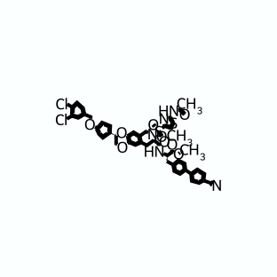 COC(=O)[C@H](Cc1ccc(-c2ccc(C#N)cc2)cc1)NC(=O)C1Cc2cc3c(cc2CN1S(=O)(=O)c1nc(NC(C)=O)sc1C)O[C@@H](c1ccc(OCc2ccc(Cl)c(Cl)c2)cc1)CO3